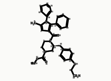 Cc1cc(C(=O)N2CCN(C(=O)OC(C)(C)C)C[C@H]2Cc2ccc(OCC(=O)O)cc2)c(-c2ccccc2)n1-c1ccccc1